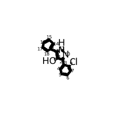 Oc1c(-c2ccccc2Cl)n[nH]c1-c1ccccc1